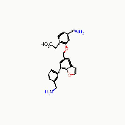 NCc1cccc(-c2cc(COc3cc(CN)ccc3CC(=O)O)cc3ccoc23)c1